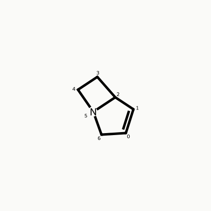 C1=CC2CCN2C1